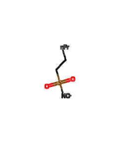 CCCCCS(=O)(=O)[N+]=O